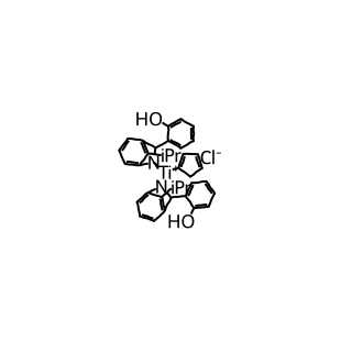 CC(C)c1c2cccc1[N]([Ti+]([C]1=CC=CC1)[N]1c3cccc(c3C(C)C)C1c1ccccc1O)C2c1ccccc1O.[Cl-]